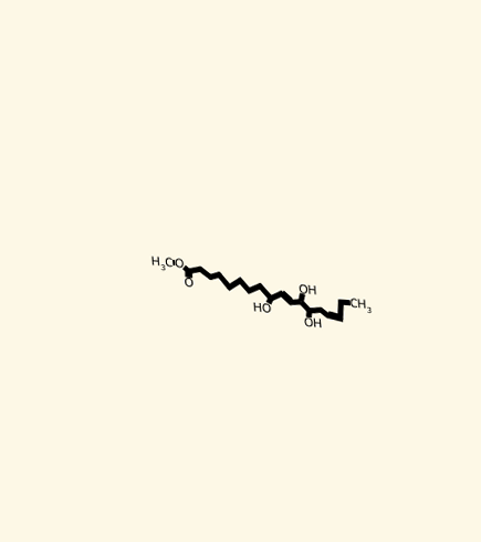 CC/C=C\CC(O)C(O)/C=C/C(O)CCCCCCCC(=O)OC